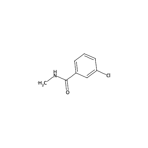 [CH2]NC(=O)c1cccc(Cl)c1